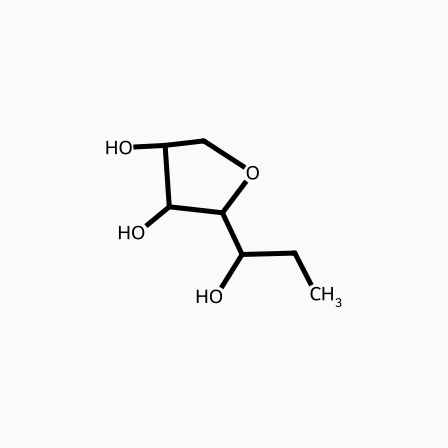 CCC(O)C1OCC(O)C1O